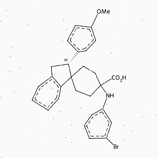 COc1ccc([C@H]2Cc3ccccc3C23CCC(Nc2cccc(Br)c2)(C(=O)O)CC3)cc1